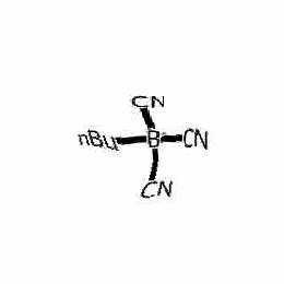 CCCC[B-](C#N)(C#N)C#N